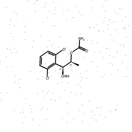 CO[C@@H](c1c(Cl)cccc1Cl)[C@H](C)OC(N)=O